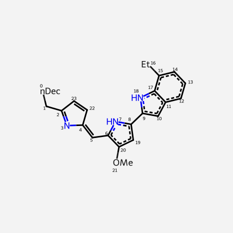 CCCCCCCCCCCC1=NC(=Cc2[nH]c(-c3cc4cccc(CC)c4[nH]3)cc2OC)C=C1